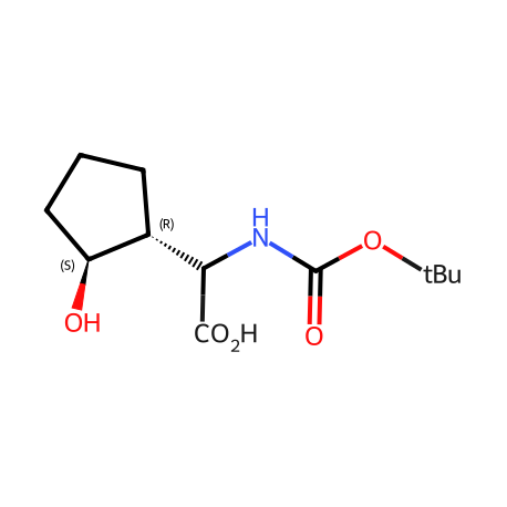 CC(C)(C)OC(=O)NC(C(=O)O)[C@H]1CCC[C@@H]1O